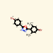 Cc1cc(Br)cc(C)c1-c1nnc(-c2ccc(Br)cc2)o1